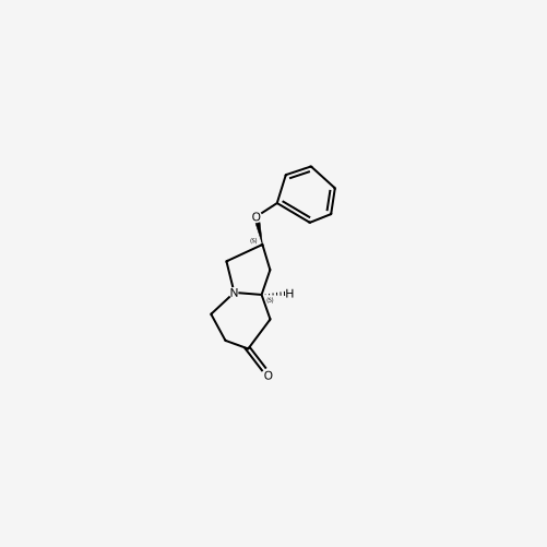 O=C1CCN2C[C@@H](Oc3ccccc3)C[C@H]2C1